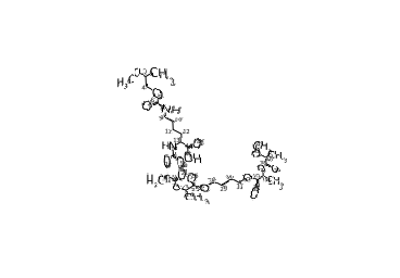 COC(C)COC(=O)NCCCCC(NC(=O)OC(C)C(=O)OC(C)C(=O)OCCCCOC(=O)C(C)OC(=O)C(C)OC)C(=O)O